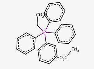 CC(=O)O.O=C(O)CP(c1ccccc1)(c1ccccc1)(c1ccccc1)c1ccccc1